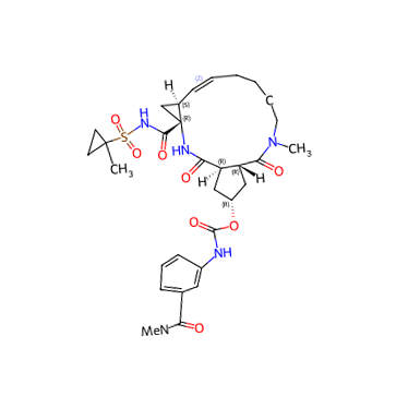 CNC(=O)c1cccc(NC(=O)O[C@@H]2C[C@H]3C(=O)N[C@]4(C(=O)NS(=O)(=O)C5(C)CC5)C[C@H]4/C=C\CCCCN(C)C(=O)[C@@H]3C2)c1